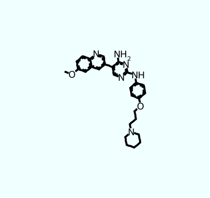 COc1ccc2ncc(-c3cnc(Nc4ccc(OCCCN5CCCCC5)cc4)nc3N)cc2c1